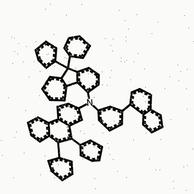 c1ccc(-c2c(-c3ccccc3)c3cc(N(c4cccc(-c5cccc6ccccc56)c4)c4cccc5c4-c4ccccc4C5(c4ccccc4)c4ccccc4)ccc3c3ccccc23)cc1